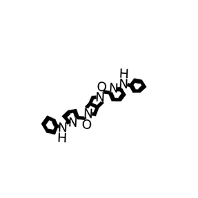 O=C(c1cccc(Nc2ccccc2)n1)N1CC2CN(C(=O)c3cccc(Nc4ccccc4)n3)CC2C1